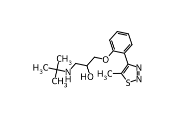 Cc1snnc1-c1ccccc1OCC(O)CNC(C)(C)C